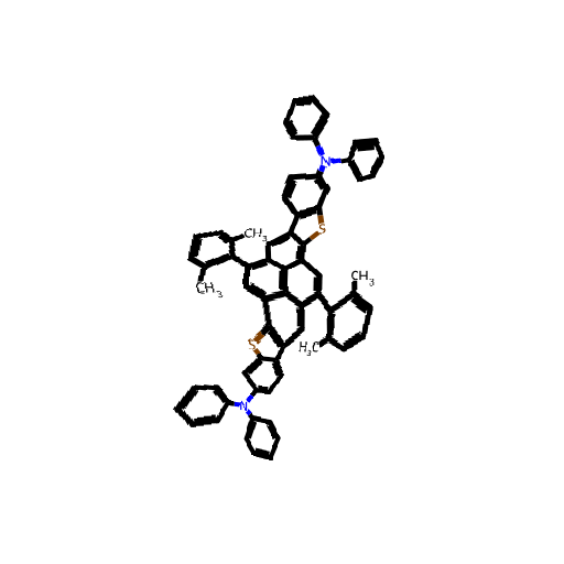 Cc1cccc(C)c1-c1cc2c3sc4cc(N(c5ccccc5)c5ccccc5)ccc4c3cc3c(-c4c(C)cccc4C)cc4c5sc6cc(N(c7ccccc7)c7ccccc7)ccc6c5cc1c4c32